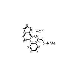 CNCC[C@H](Oc1cncc2ccsc12)c1ccccc1.Cl